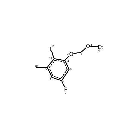 CCOCOc1cc(F)cc(C)c1I